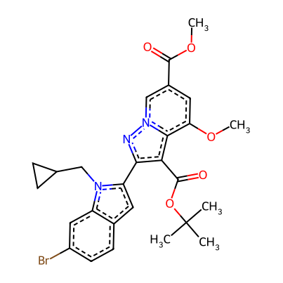 COC(=O)c1cc(OC)c2c(C(=O)OC(C)(C)C)c(-c3cc4ccc(Br)cc4n3CC3CC3)nn2c1